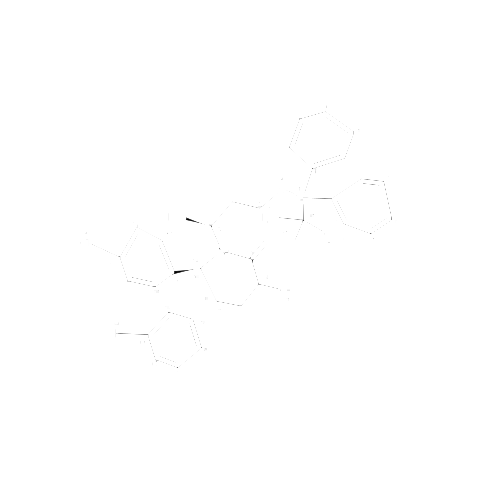 C[C@@H](CCO[Si](c1ccccc1)(c1ccccc1)C(C)(C)C)N1C(=O)C(O)C[C@H](c2cccc(Cl)c2)[C@H]1c1ccc(Cl)cc1